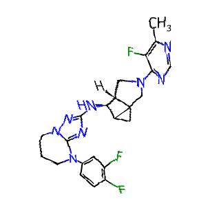 Cc1ncnc(N2C[C@H]3[C@H](Nc4nc5n(n4)CCCN5c4ccc(F)c(F)c4)C4CC43C2)c1F